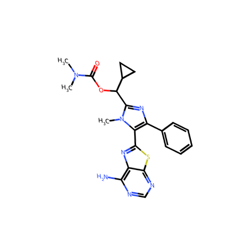 CN(C)C(=O)OC(c1nc(-c2ccccc2)c(-c2nc3c(N)ncnc3s2)n1C)C1CC1